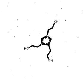 OCCc1c[n+](CCO)cn1CCO